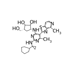 Cc1nc(NC2(C3CCCCC3)CC2)nc(N[C@@H]2C[C@H](CO)[C@@H](O)[C@H]2O)c1-c1nc2c(C)nccc2s1